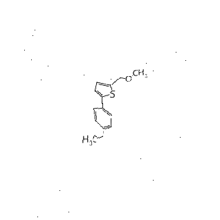 CCc1ccc(-c2ccc(COC)s2)cc1